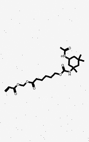 C=CC(=O)OCOC(=O)CCCCCOC(=O)NC1(C)CC(NC(C)=O)CC(C)(C)C1